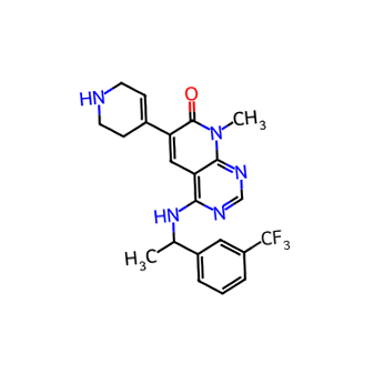 CC(Nc1ncnc2c1cc(C1=CCNCC1)c(=O)n2C)c1cccc(C(F)(F)F)c1